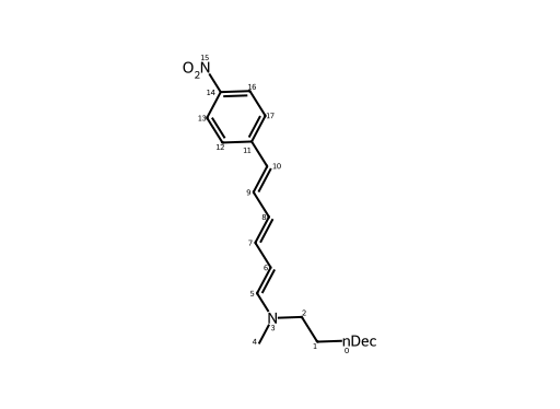 CCCCCCCCCCCCN(C)C=CC=CC=Cc1ccc([N+](=O)[O-])cc1